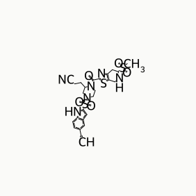 C#Cc1ccc2[nH]c(S(=O)(=O)N3CCN(C(=O)c4nc5c(s4)CNC(S(C)(=O)=O)C5)C(CCC#N)C3)cc2c1